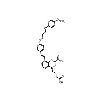 COc1ccc(OCCCOc2ccc(/C=C/c3cccc4c3OC(C(=O)O)CN4CCCC(=O)O)cc2)cc1